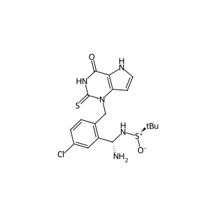 CC(C)(C)[S@@+]([O-])N[C@H](N)c1cc(Cl)ccc1Cn1c(=S)[nH]c(=O)c2[nH]ccc21